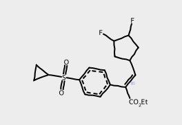 CCOC(=O)/C(=C/C1CC(F)C(F)C1)c1ccc(S(=O)(=O)C2CC2)cc1